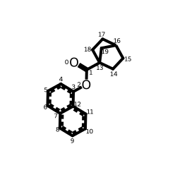 O=C(Oc1cccc2ccccc12)C12CCC(CC1)C2